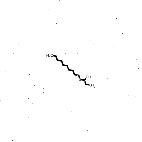 CCCCCCCCCCSC(O)CC